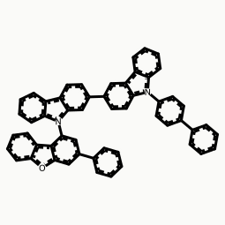 c1ccc(-c2ccc(-n3c4ccccc4c4cc(-c5ccc6c7ccccc7n(-c7cc(-c8ccccc8)cc8oc9ccccc9c78)c6c5)ccc43)cc2)cc1